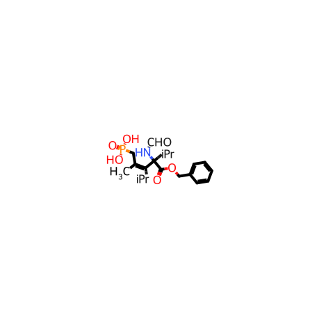 CC(CP(=O)(O)O)=C(C(C)C)C(NC=O)(C(=O)OCc1ccccc1)C(C)C